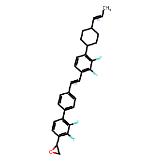 C/C=C/C1CCC(c2ccc(/C=C/c3ccc(-c4ccc(C5CO5)c(F)c4F)cc3)c(F)c2F)CC1